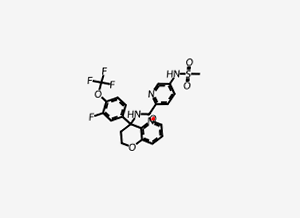 CS(=O)(=O)Nc1ccc(C(=O)NC2(c3ccc(OC(F)(F)F)c(F)c3)CCOc3cccnc32)nc1